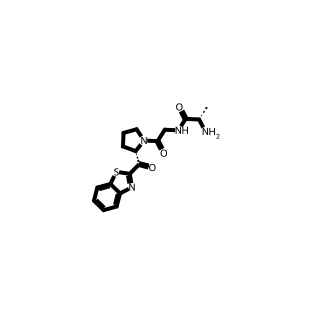 C[C@H](N)C(=O)NCC(=O)N1CCC[C@H]1C(=O)c1nc2ccccc2s1